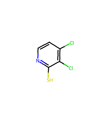 Sc1nccc(Cl)c1Cl